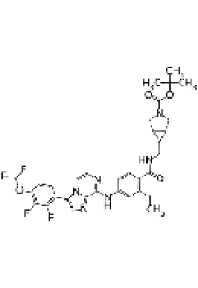 CCc1cc(Nc2nccn3c(-c4ccc(OC(F)F)c(F)c4F)cnc23)ccc1C(=O)NCC1C2CN(C(=O)OC(C)(C)C)CC12